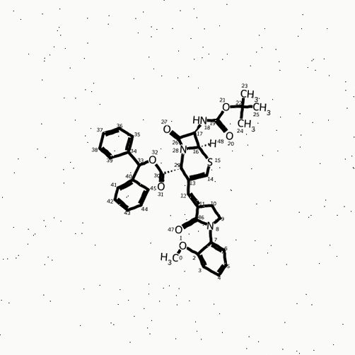 COc1ccccc1N1CCC(=CC2=CS[C@@H]3[C@H](NC(=O)OC(C)(C)C)C(=O)N3[C@H]2C(=O)OC(c2ccccc2)c2ccccc2)C1=O